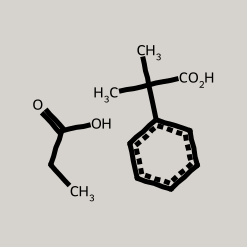 CC(C)(C(=O)O)c1ccccc1.CCC(=O)O